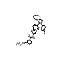 Nc1cc(C(=O)Nc2cn3nc(-c4c(-c5ccc(I)cc5)nc5n4CCCC5)ccc3n2)ccn1